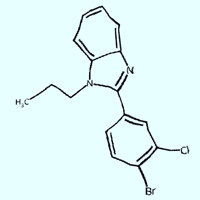 CCCn1c(-c2ccc(Br)c(Cl)c2)nc2ccccc21